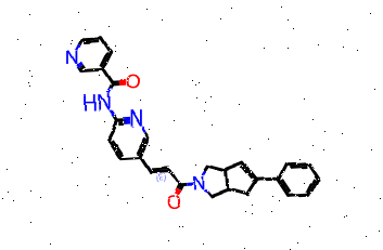 O=C(Nc1ccc(/C=C/C(=O)N2CC3C=C(c4ccccc4)CC3C2)cn1)c1cccnc1